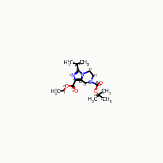 CCOC(=O)c1nc(C(C)C)n2c1CN(C(=O)OC(C)(C)C)CC2